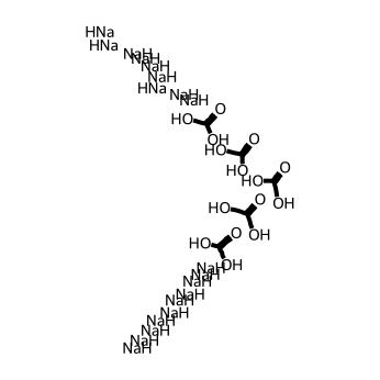 O=C(O)O.O=C(O)O.O=C(O)O.O=C(O)O.O=C(O)O.[NaH].[NaH].[NaH].[NaH].[NaH].[NaH].[NaH].[NaH].[NaH].[NaH].[NaH].[NaH].[NaH].[NaH].[NaH].[NaH].[NaH].[NaH].[NaH]